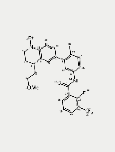 CCN1CCC(CCOC)c2cc(-c3cc(NC(=O)c4cccc(C(F)(F)F)c4F)cnc3C)cnc21